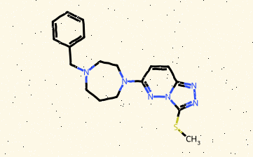 CSc1nnc2ccc(N3CCCN(Cc4ccccc4)CC3)nn12